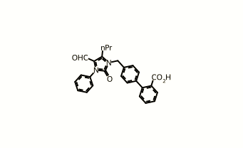 CCCc1c(C=O)n(-c2ccccc2)c(=O)n1Cc1ccc(-c2ccccc2C(=O)O)cc1